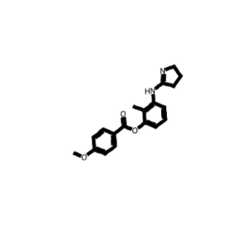 COc1ccc(C(=O)Oc2cccc(NC3=NCCC3)c2C)cc1